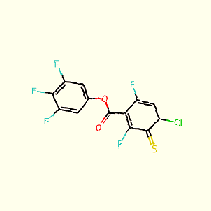 O=C(Oc1cc(F)c(F)c(F)c1)C1=C(F)C(=S)C(Cl)C=C1F